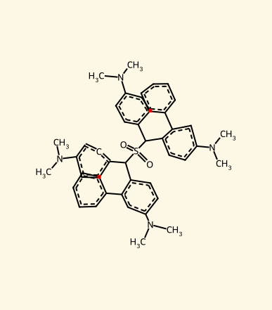 CN(C)c1ccc(C(c2ccc(N(C)C)cc2-c2ccccc2)S(=O)(=O)C(c2ccc(N(C)C)cc2)c2ccc(N(C)C)cc2-c2ccccc2)cc1